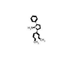 C=C/C=C\C(=C/C=C)[C@@H]1CC[C@@H](c2ccccc2)P1N